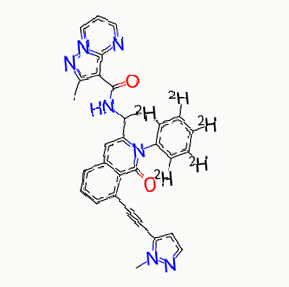 [2H]c1c([2H])c([2H])c(-n2c(C(C)NC(=O)c3c(C)nn4cccnc34)cc3cccc(C#Cc4ccnn4C)c3c2=O)c([2H])c1[2H]